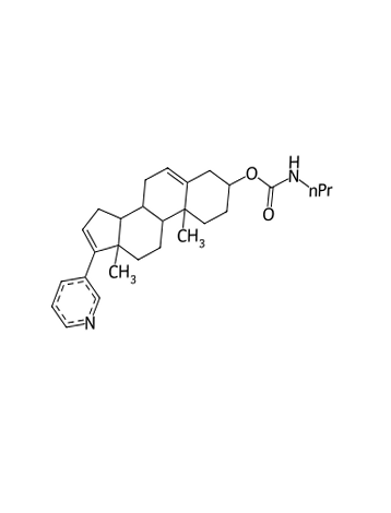 CCCNC(=O)OC1CCC2(C)C(=CCC3C2CCC2(C)C(c4cccnc4)=CCC32)C1